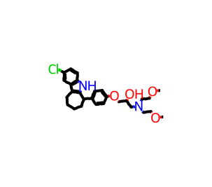 COCCN(CCOC)CC(O)COc1ccc(C2CCCCc3c2[nH]c2ccc(Cl)cc32)cc1